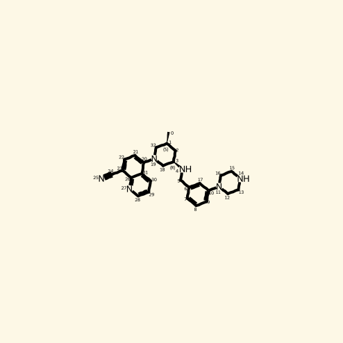 C[C@H]1C[C@@H](NCc2cccc(N3CCNCC3)c2)CN(c2ccc(C#N)c3ncccc23)C1